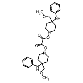 COCC1(Nc2ccccc2)CCN(OC(=O)C(=O)ON2CCC(COC)(Nc3ccccc3)CC2)CC1